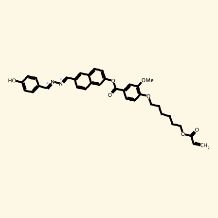 C=CC(=O)OCCCCCCOc1ccc(C(=O)Oc2ccc3cc(/C=N/N=C/c4ccc(O)cc4)ccc3c2)cc1OC